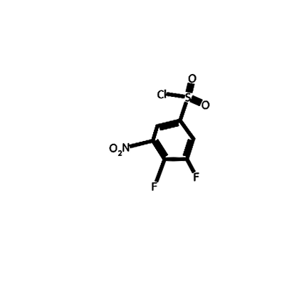 O=[N+]([O-])c1cc(S(=O)(=O)Cl)cc(F)c1F